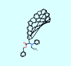 CCN(c1ccccc1)C(C(=O)OCc1ccccc1)C12C=c3cc4cc5cc6c7c5c5c4c4c3C1c1c3c(cc8c9c%10c(cc(c%11c%10c%10c(c1c4c5c%10c7%11)c39)C6)C8)C2